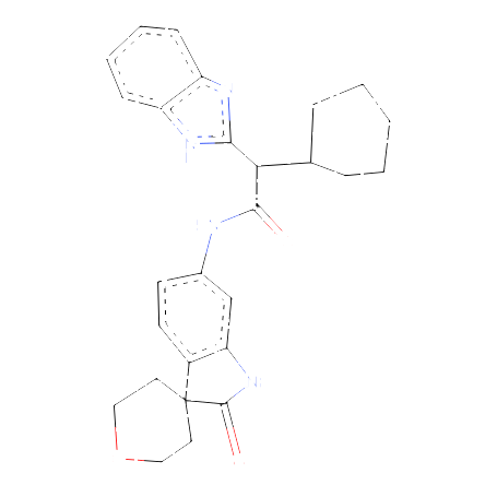 O=C(Nc1ccc2c(c1)NC(=O)C21CCOCC1)C(c1nc2ccccc2[nH]1)C1CCCCC1